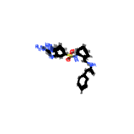 CC(CC1CCCCC1)NCc1ccccc1NS(=O)(=O)c1ccc2[nH]c(N)nc2c1